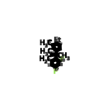 C=C(C)C(C)(c1ccc(CC)c(C)c1)c1ccc(F)cc1F